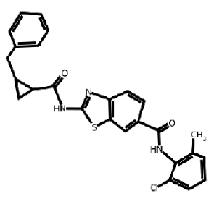 Cc1cccc(Cl)c1NC(=O)c1ccc2nc(NC(=O)C3CC3Cc3ccccc3)sc2c1